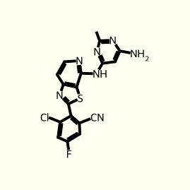 Cc1nc(N)cc(Nc2nccc3nc(-c4c(Cl)cc(F)cc4C#N)sc23)n1